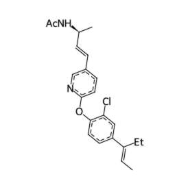 C/C=C(\CC)c1ccc(Oc2ccc(/C=C/[C@H](C)NC(C)=O)cn2)c(Cl)c1